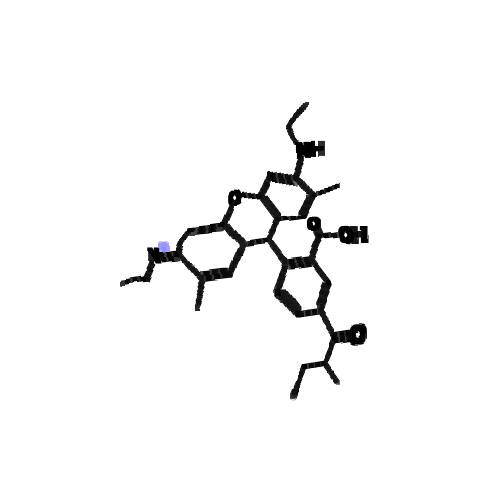 CC/N=C1/C=C2Oc3cc(NCC)c(C)cc3C(c3ccc(C(=O)C(C)CC)cc3C(=O)O)C2C=C1C